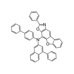 c1ccc(-c2ccc(N(c3cc(-c4ccccc4)c4ccccc4c3)c3c4oc(-c5ccccc5)nc4cc4c3oc3ccccc34)cc2)cc1